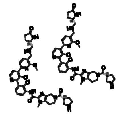 COc1nc(-c2ccnc(-c3cccc(NC(=O)c4nc5c(n4C)CCN(C(=O)[C@@H]4CCNC4)C5)c3Cl)c2Cl)ccc1CNC[C@@H]1CCC(=O)N1.COc1nc(-c2ccnc(-c3cccc(NC(=O)c4nc5c(n4C)CCN(C(=O)[C@@H]4CCNC4)C5)c3Cl)c2Cl)ccc1CNC[C@@H]1CCC(=O)N1